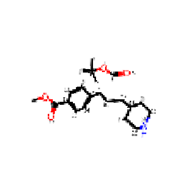 CC(C)(C)OC=O.COC(=O)c1ccc(CCCC2CCNCC2)cc1